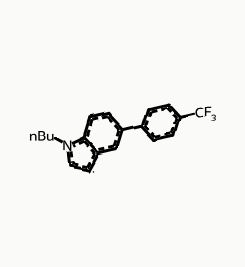 CCCCn1c[c]c2cc(-c3ccc(C(F)(F)F)cc3)ccc21